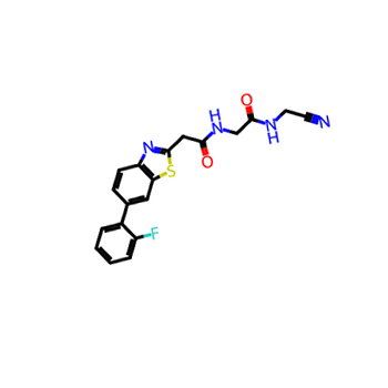 N#CCNC(=O)CNC(=O)Cc1nc2ccc(-c3ccccc3F)cc2s1